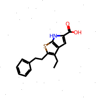 CCc1c(CCc2ccccc2)sc2[nH]c(C(=O)O)cc12